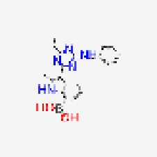 CCc1nc(NCc2ccccc2)nc(-c2c(C)[nH]c3c(B(O)O)cccc23)n1